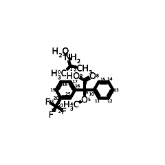 CC(C)N.COC(C(=O)O)(c1ccccc1)c1cccc(C(F)(F)F)c1.O